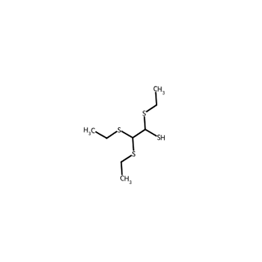 CCSC(S)C(SCC)SCC